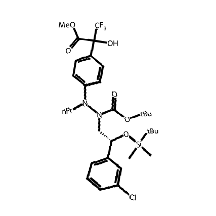 CCCN(c1ccc(C(O)(C(=O)OC)C(F)(F)F)cc1)N(C[C@H](O[Si](C)(C)C(C)(C)C)c1cccc(Cl)c1)C(=O)OC(C)(C)C